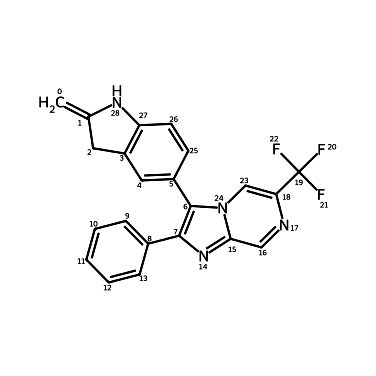 C=C1Cc2cc(-c3c(-c4ccccc4)nc4cnc(C(F)(F)F)cn34)ccc2N1